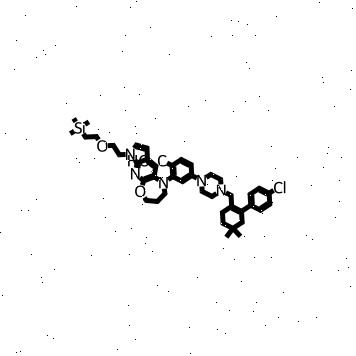 CC1(C)CCC(CN2CCN(c3ccc(C(=O)O)c(N4CCCOc5nc6c(ccn6CCOCC[Si](C)(C)C)cc54)c3)CC2)=C(c2ccc(Cl)cc2)C1